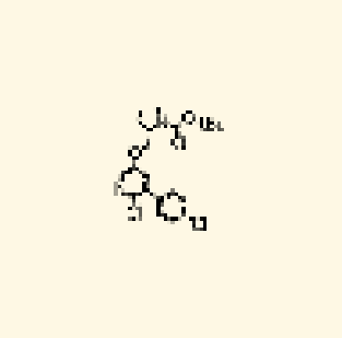 CC(C)(C)OC(=O)N1CCC[C@@H]1COc1cnc(Cl)c(-c2ccc(Cl)cc2)c1